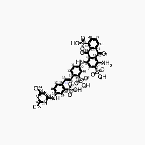 Nc1c(S(=O)(=O)O)cc(Nc2ccc(/C=C/c3ccc(Nc4nc(Cl)nc(Cl)n4)cc3S(=O)(=O)O)c(S(=O)(=O)O)c2)c2c1C(=O)c1cccc(S(=O)(=O)O)c1C2=O